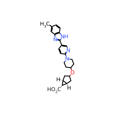 Cc1ccc2[nH]c(-c3ccc(N4CCC(O[C@H]5C[C@@H]6[C@H](C5)[C@H]6C(=O)O)CC4)nc3)nc2c1